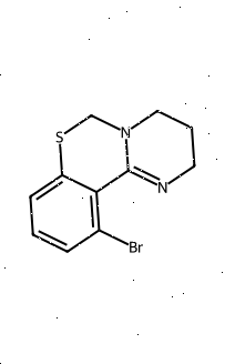 Brc1cccc2c1C1=NCCCN1CS2